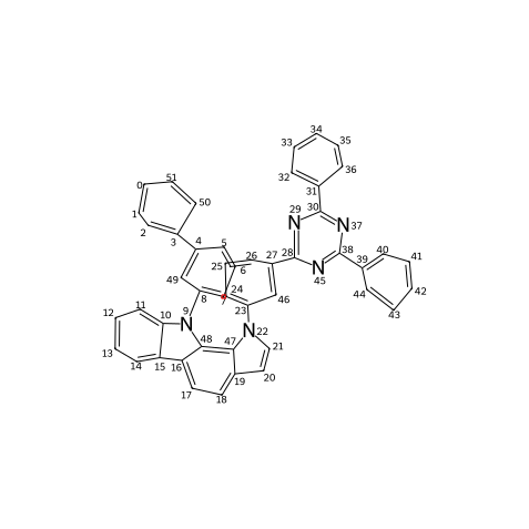 c1ccc(-c2cccc(-n3c4ccccc4c4ccc5ccn(-c6cccc(-c7nc(-c8ccccc8)nc(-c8ccccc8)n7)c6)c5c43)c2)cc1